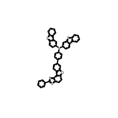 c1ccc(-c2nc3c(ccc4oc5cc(-c6ccc(N(c7ccc8c(c7)sc7ccccc78)c7ccc8sc9ccccc9c8c7)cc6)ccc5c43)s2)cc1